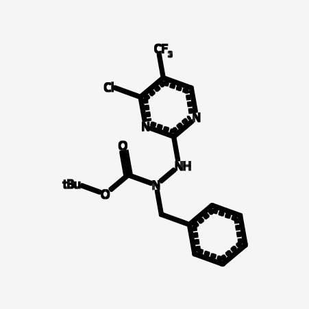 CC(C)(C)OC(=O)N(Cc1ccccc1)Nc1ncc(C(F)(F)F)c(Cl)n1